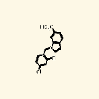 O=C(O)c1ccc2ccn(Cc3ccc(Cl)cc3Cl)c2c1